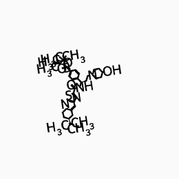 CC(C)(C)[C@H]1CCc2nc3sc(C(=O)N[C@H](CCN4CCC(O)CC4)c4ccc(B5OC(C)(C)C(C)(C)O5)cc4)nc3cc2C1